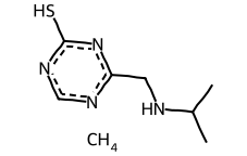 C.CC(C)NCc1ncnc(S)n1